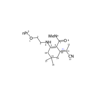 CCCOCCNC1=C(C(=O)NC)/C(=C(\C)C#N)CC(C)(C)C1